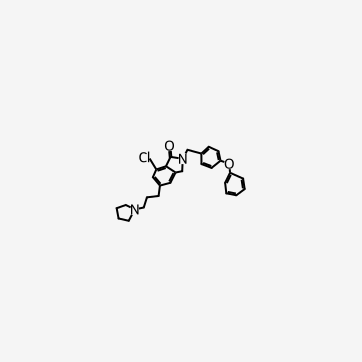 O=C1c2c(Cl)cc(CCCN3CCCC3)cc2CN1Cc1ccc(Oc2ccccc2)cc1